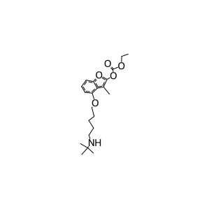 CCOC(=O)Oc1oc2cccc(OCCCCCNC(C)(C)C)c2c1C